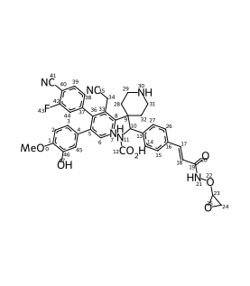 COc1ccc(-c2cnc(C3(C(NC(=O)O)c4ccc(/C=C/C(=O)NOC5CO5)cc4)CCNCC3)c(CC#N)c2-c2ccc(C#N)c(F)c2)cc1O